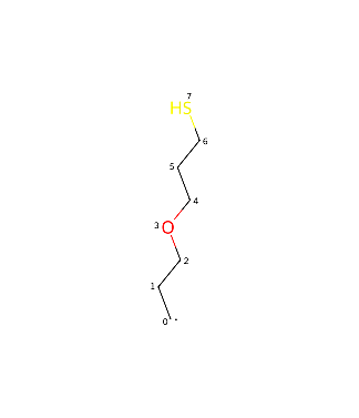 [CH2]CCOCCCS